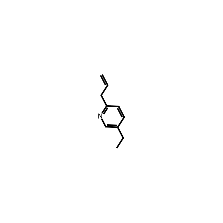 C=CCc1ccc(CC)cn1